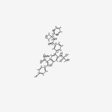 CCCS(=O)(=O)Nc1cc2oc(-c3ccc(F)cc3)c(C(=O)NC)c2cc1-c1cccc(C(=O)NC2(c3ncccn3)COC2)c1